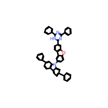 c1ccc(C2=NC(c3ccccc3)NC(c3ccc4c(c3)oc3ccc(-n5c6cc(-c7ccccc7)ccc6c6ccc(-c7ccccc7)cc65)cc34)=N2)cc1